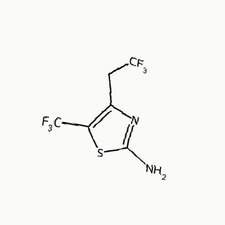 Nc1nc(CC(F)(F)F)c(C(F)(F)F)s1